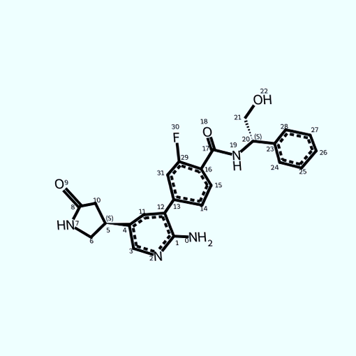 Nc1ncc([C@H]2CNC(=O)C2)cc1-c1ccc(C(=O)N[C@H](CO)c2ccccc2)c(F)c1